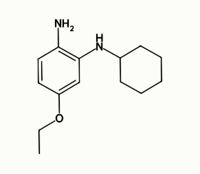 CCOc1ccc(N)c(NC2CCCCC2)c1